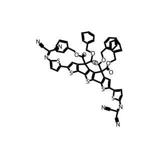 N#CC(C#N)=Nc1ccc(-c2cc3c(s2)-c2sc4c(c2C3(C(=O)OCc2ccccc2)C(=O)OCc2ccccc2)C(C(=O)OCc2ccccc2)(C(=O)OCc2ccccc2)c2cc(-c3ccc(N=C(C#N)C#N)s3)sc2-4)s1